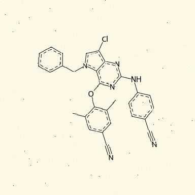 Cc1cc(C#N)cc(C)c1Oc1nc(Nc2ccc(C#N)cc2)nc2c(Cl)cn(Cc3ccccc3)c12